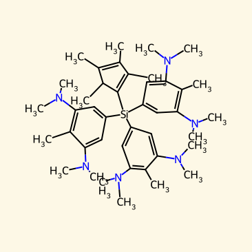 CC1=C(C)C(C)C([Si](c2cc(N(C)C)c(C)c(N(C)C)c2)(c2cc(N(C)C)c(C)c(N(C)C)c2)c2cc(N(C)C)c(C)c(N(C)C)c2)=C1C